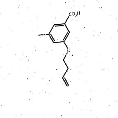 C=CCCOc1cc(C)cc(C(=O)O)c1